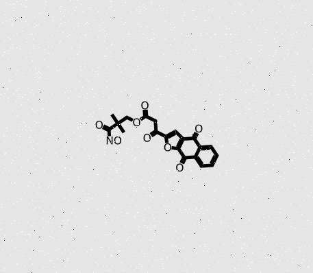 CC(C)(COC(=O)CC(=O)c1cc2c(o1)C(=O)c1ccccc1C2=O)C(=O)N=O